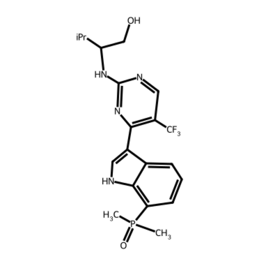 CC(C)C(CO)Nc1ncc(C(F)(F)F)c(-c2c[nH]c3c(P(C)(C)=O)cccc23)n1